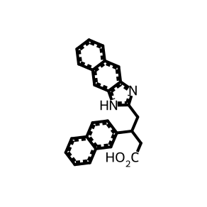 O=C(O)CC(Cc1nc2cc3ccccc3cc2[nH]1)c1ccc2ccccc2c1